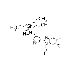 CCC[CH2][Sn]([CH2]CCC)([CH2]CCC)[c]1cncn1Cc1cncc(-c2nc3cc(F)c(Cl)cc3n2CCF)c1